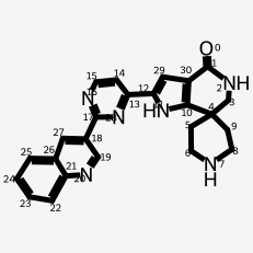 O=C1NCC2(CCNCC2)c2[nH]c(-c3ccnc(-c4cnc5ccccc5c4)n3)cc21